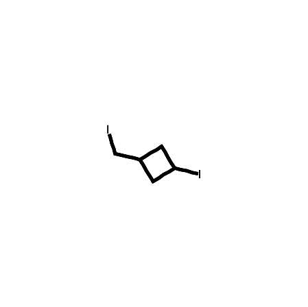 ICC1CC(I)C1